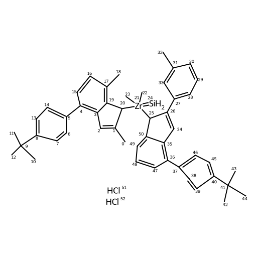 CC1=Cc2c(-c3ccc(C(C)(C)C)cc3)ccc(C)c2[CH]1[Zr]([CH3])([CH3])(=[SiH2])[CH]1C(c2cccc(C)c2)=Cc2c(-c3ccc(C(C)(C)C)cc3)cccc21.Cl.Cl